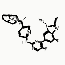 CCN1C2CCC1CN([C@H](C)c1ccc(Nc3ncc(F)c(-c4cc(F)c5nc(C)n(C(C)C)c5c4)n3)nc1)C2